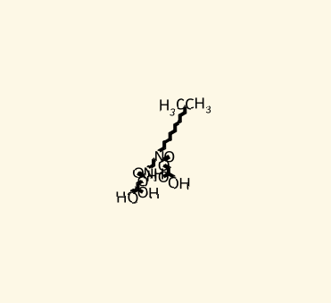 CC(C)CCCCCCCCCCN(CCCNC(=O)OCC(O)CO)C(=O)OCC(O)CO